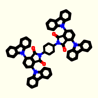 O=C1c2c(-n3c4ccccc4c4ccccc43)ccc(-n3c4ccccc4c4ccccc43)c2C(=O)N1C1CCC(N2C(=O)c3c(-n4c5ccccc5c5ccccc54)ccc(-n4c5ccccc5c5ccccc54)c3C2=O)CC1